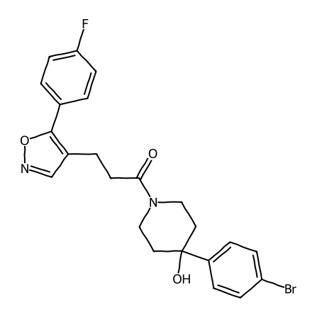 O=C(CCc1cnoc1-c1ccc(F)cc1)N1CCC(O)(c2ccc(Br)cc2)CC1